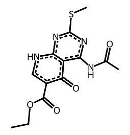 CCOC(=O)c1c[nH]c2nc(SC)nc(NC(C)=O)c2c1=O